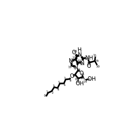 CCCCCCCCCO[C@@H]1[C@H](O)[C@@H](CO)O[C@H]1n1cnc2c(=O)[nH]c(NC(=O)C(C)C)nc21